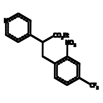 CCOC(=O)C(Cc1ccc(C(F)(F)F)cc1[N+](=O)[O-])c1ccncc1